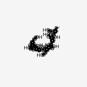 COc1ccc(N=Nc2c(S(=O)(=O)O)cc3cc(N=Nc4c(S(=O)(=O)O)cc5cc(SOOO)c(N=Nc6ccc7cc(SOOO)c(N=Nc8cc(SOOO)ccc8S(=O)(=O)O)c(O)c7c6)c(O)c5c4N)ccc3c2O)c(SOOO)c1